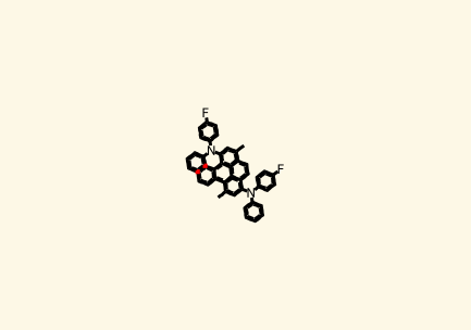 Cc1cc(N(c2ccccc2)c2ccc(F)cc2)c2c3ccccc3c3c(C)cc(N(c4ccccc4)c4ccc(F)cc4)c4ccc1c2c43